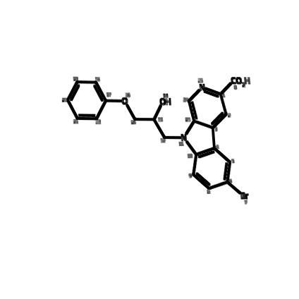 O=C(O)c1cc2c3cc(Br)ccc3n(CC(O)COc3ccccc3)c2cn1